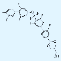 Cc1ccc(-c2c(F)cc(OC(F)(F)c3c(F)cc(-c4ccc(C5OCC(CO)CO5)cc4F)cc3F)cc2F)cc1F